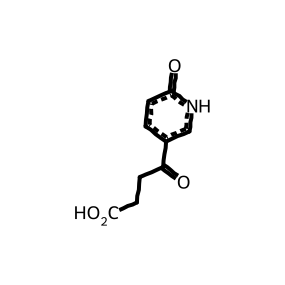 O=C(O)CCC(=O)c1ccc(=O)[nH]c1